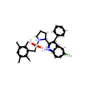 Cc1cc(C)c(C)c(CS(=O)(=O)N2CCCC2c2[nH]c3ccc(Cl)cc3c2-c2ccccc2)c1C